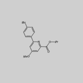 CCC(C)c1ccc(-c2cc(OC)cc(C(=O)OC(C)C)n2)cc1